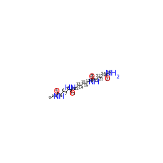 CCNC(=O)CCCCC(=O)NCCCCCCNC(=O)CCCCC(N)=O